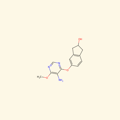 COc1ncnc(Oc2ccc3c(c2)CC(O)C3)c1N